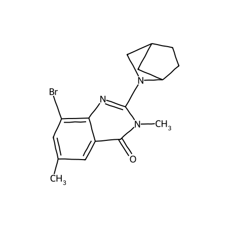 Cc1cc(Br)c2nc(N3CC4CCC3C4)n(C)c(=O)c2c1